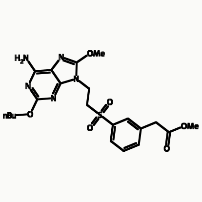 CCCCOc1nc(N)c2nc(OC)n(CCS(=O)(=O)c3cccc(CC(=O)OC)c3)c2n1